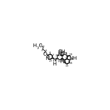 CCCCOc1ccc(NC2C[C@@H]3c4cccc5[nH]cc(c45)C[C@H]3N(C)C2)cn1